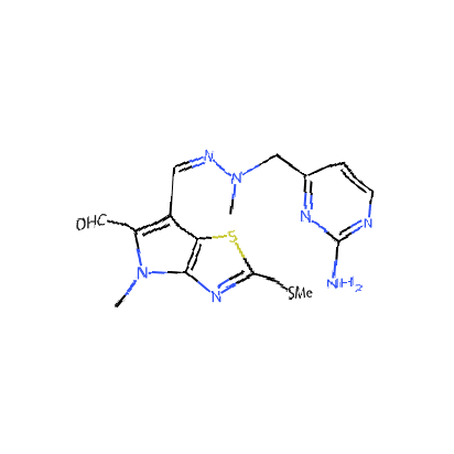 CSc1nc2c(s1)c(/C=N\N(C)Cc1ccnc(N)n1)c(C=O)n2C